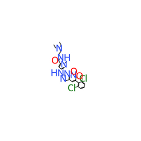 CCN(CC)CCNC(=O)c1cc(Nc2ncc3cc(-c4c(Cl)cccc4Cl)c(=O)n(OC)c3n2)cn1C